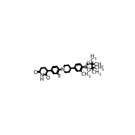 Cc1cc(C2CCN(c3ccc(C4CCC(=O)NC4=O)cc3F)CC2)ccc1B1OC(C)(C)C(C)(C)O1